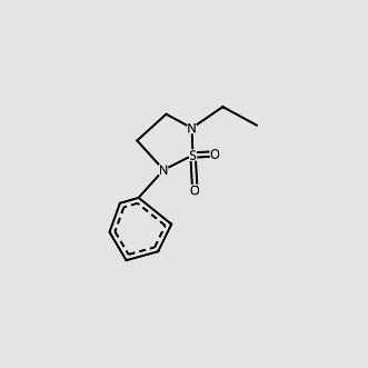 CCN1CCN(c2ccccc2)S1(=O)=O